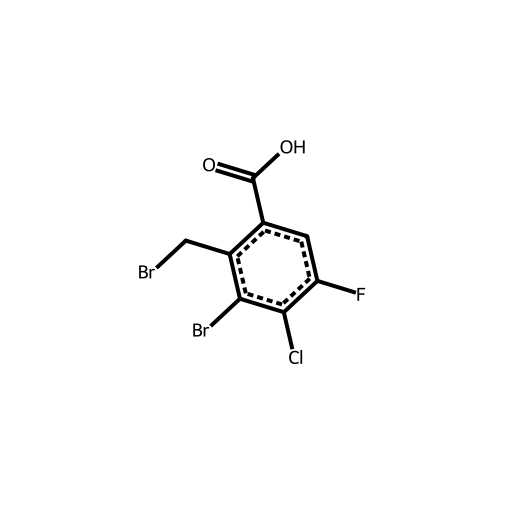 O=C(O)c1cc(F)c(Cl)c(Br)c1CBr